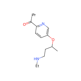 CCNCCC(C)Oc1ccc(C(=O)C(C)C)nc1